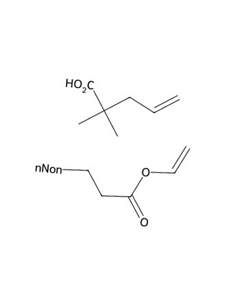 C=CCC(C)(C)C(=O)O.C=COC(=O)CCCCCCCCCCC